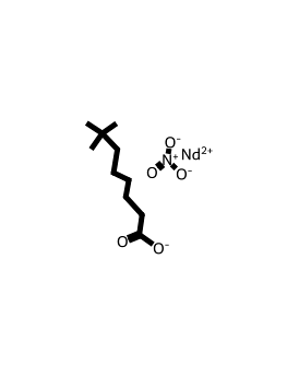 CC(C)(C)CCCCCC(=O)[O-].O=[N+]([O-])[O-].[Nd+2]